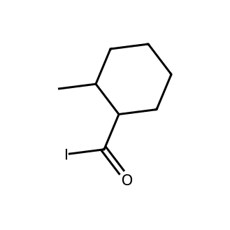 CC1CCCCC1C(=O)I